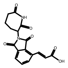 O=C(O)C=Cc1cccc2c1C(=O)N(C1CCCC(=O)NC1=O)C2=O